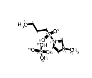 CCCCS(=O)(=O)[n+]1ccn(C)c1.O=S(=O)(O)O